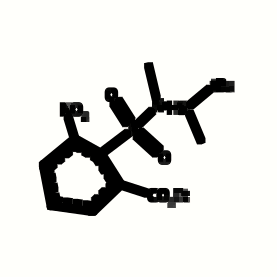 CCOC(=O)c1cccc([N+](=O)[O-])c1S(=O)(=O)N(C)[SiH](C)C(C)(C)C